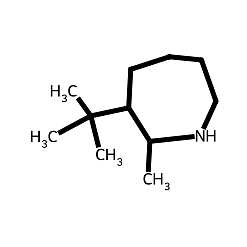 CC1NCCCCC1C(C)(C)C